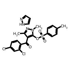 Cc1ccc(S(=O)(=O)Oc2c(C(=O)c3ccc(Cl)cc3Cl)c(C)nn2C)cc1.c1cn[nH]c1